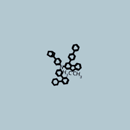 CC1(C)c2ccccc2-c2c(-c3ccc(-c4ccccc4)cc3)cc(N(c3ccc(C4CC5CCC4C5)cc3)c3cccc(-c4ccccc4C4CCCCC4)c3)cc21